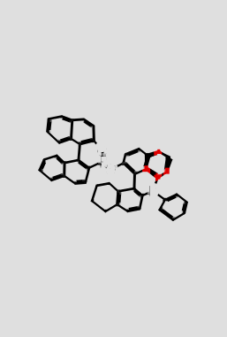 c1ccc(P(c2ccccc2)c2ccc3c(c2-c2c(O[P@@]4Oc5ccc6ccccc6c5-c5c4ccc4ccccc54)ccc4c2CCCC4)CCCC3)cc1